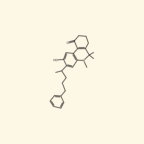 CC(CCCc1ccccc1)c1cc2c(cc1O)C1=C(CCCC1=O)C(C)(C)N2C